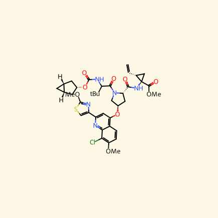 C=C[C@@H]1C[C@]1(NC(=O)[C@@H]1C[C@@H](Oc2cc(-c3csc(OC)n3)nc3c(Cl)c(OC)ccc23)CN1C(=O)C(NC(=O)O[C@@H]1C[C@@H]2C[C@@H]2C1)C(C)(C)C)C(=O)OC